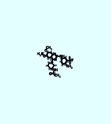 COc1cc2nc(Nc3ccc(N)c(C(F)(F)F)c3)nc(N3CCC[C@@H](NC(C)=O)C3)c2cc1OC